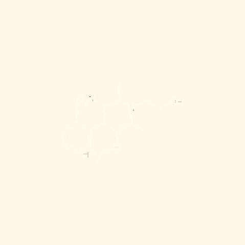 CC1=C(SC(=O)O)C(c2ccccc2F)C([N+](=O)[O-])=C(C)N1CCO